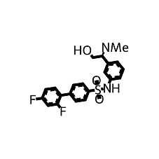 CN[C@H](CO)c1cccc(NS(=O)(=O)c2ccc(-c3ccc(F)cc3F)cc2)c1